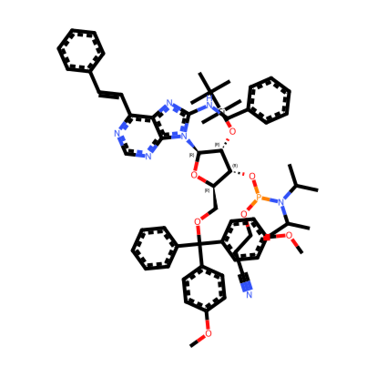 COc1ccc(C(OC[C@H]2O[C@@H](n3c(NCc4ccccc4)nc4c(C=Cc5ccccc5)ncnc43)[C@H](O[Si](C)(C)C(C)(C)C)[C@@H]2OP(OCCC#N)N(C(C)C)C(C)C)(c2ccccc2)c2ccc(OC)cc2)cc1